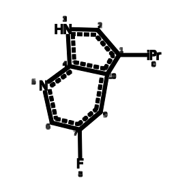 CC(C)c1c[nH]c2ncc(F)cc12